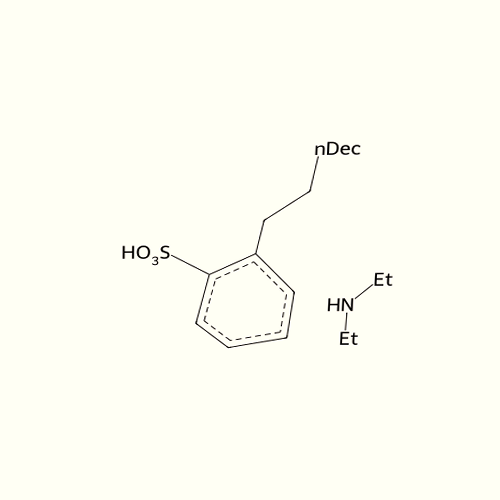 CCCCCCCCCCCCc1ccccc1S(=O)(=O)O.CCNCC